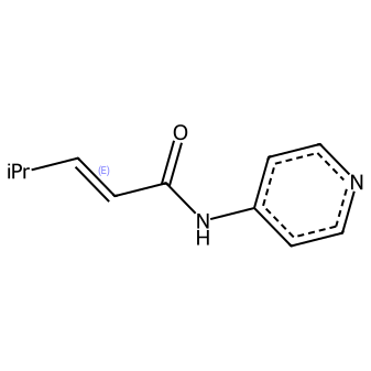 CC(C)/C=C/C(=O)Nc1ccncc1